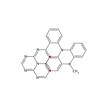 CB1c2ccccc2N(c2ccccc2C2=NC3=NC=NC4=NC=NC(=N2)N43)c2ccccc21